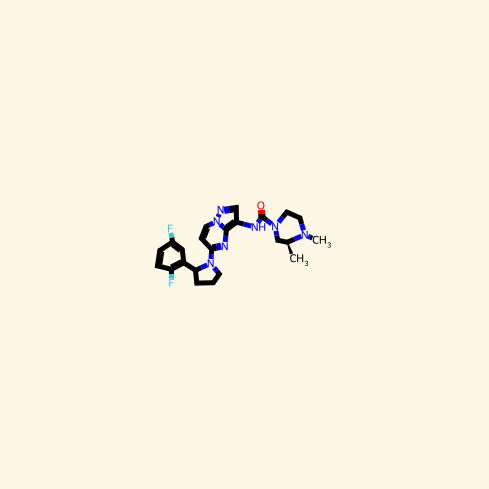 C[C@H]1CN(C(=O)Nc2cnn3ccc(N4CCCC4c4cc(F)ccc4F)nc23)CCN1C